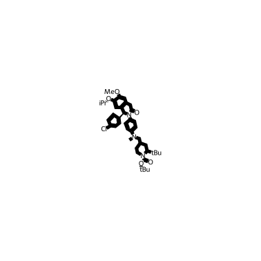 COc1cc2c(cc1OC(C)C)[C@H](c1ccc(Cl)cc1)N(c1ccc(N(C)CC3CCN(C(=O)OC(C)(C)C)C(C(C)(C)C)C3)cc1)C(=O)C2